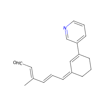 CC(C=CC=C1C=C(c2cccnc2)CCC1)=CC=O